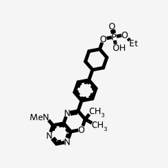 CCOP(=O)(O)OC1CCC(c2ccc(C3=Nc4c(NC)ncnc4OC3(C)C)cc2)CC1